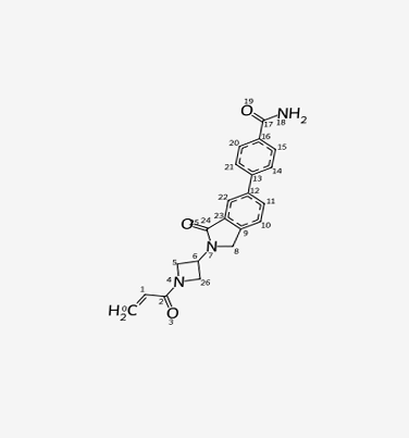 C=CC(=O)N1CC(N2Cc3ccc(-c4ccc(C(N)=O)cc4)cc3C2=O)C1